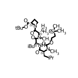 CC[C@H](C)[C@H](NC(=O)[C@H](CC(C)C)N(C)C(=O)OCC[Si](C)(C)C)C(=O)N(C)[C@@H](C)C(=O)N1CC[C@H]1C(=O)OC(C)(C)C